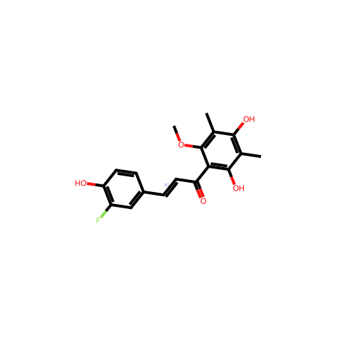 COc1c(C)c(O)c(C)c(O)c1C(=O)/C=C/c1ccc(O)c(F)c1